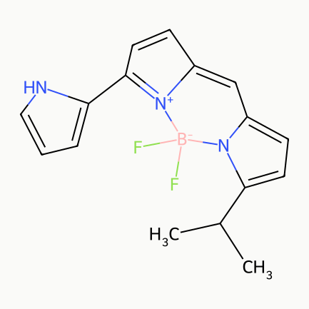 CC(C)c1ccc2n1[B-](F)(F)[N+]1=C(c3ccc[nH]3)C=CC1=C2